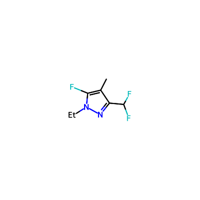 CCn1nc(C(F)F)c(C)c1F